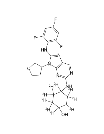 [2H]C1C([2H])([2H])C([2H])(Nc2ncc3nc(Nc4c(F)cc(F)cc4F)n(C4CCOC4)c3n2)C([2H])([2H])C([2H])([2H])C1([2H])O